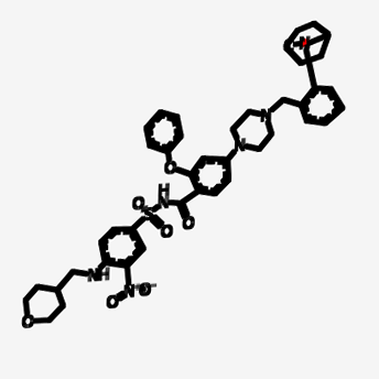 O=C(NS(=O)(=O)c1ccc(NCC2CCOCC2)c([N+](=O)[O-])c1)c1ccc(N2CCN(Cc3ccccc3N3CC4CCC(CC4)C3)CC2)cc1Oc1ccccc1